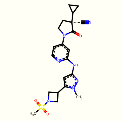 Cn1nc(Nc2cc(N3CC[C@@](C#N)(C4CC4)C3=O)ccn2)cc1C1CN(S(C)(=O)=O)C1